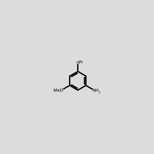 CCCc1cc(N)cc(OC)c1